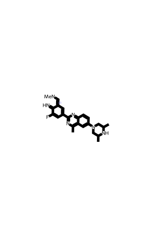 CN/C=C1/C=C(c2nc(C)c3cc(N4CC(C)NC(C)C4)ccc3n2)C=C(F)C1=N